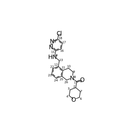 O=C(C1CCOCC1)N1CCc2c(CNc3ccc(Cl)nn3)cccc2C1